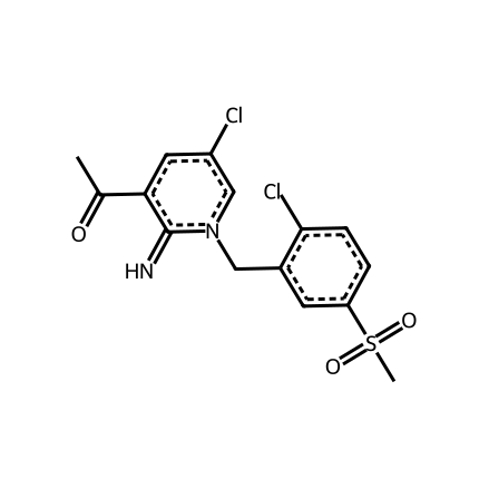 CC(=O)c1cc(Cl)cn(Cc2cc(S(C)(=O)=O)ccc2Cl)c1=N